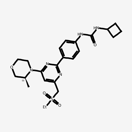 CCS(=O)(=O)Cc1cc(N2CCOC[C@@H]2C)nc(-c2ccc(NC(=O)NC3CCC3)cc2)n1